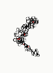 ClC1=C(Cl)C2(Cl)C(CBr)CC1(Cl)C2(Cl)Cl.ClC1=C(Cl)C2(Cl)C3C(Cl)C(Cl)CC3C1(Cl)C2(Cl)Cl.ClC1=C(Cl)C2(Cl)C3C4CC(C5OC45)C3C1(Cl)C2(Cl)Cl.ClCC1C(CCl)C2(Cl)C(Cl)=C(Cl)C1(Cl)C2(Cl)Cl.Cn1c(=O)c2c(ncn2CC(O)CO)n(C)c1=O.O=C1C2(Cl)C3(Cl)C4(Cl)C(Cl)(Cl)C5(Cl)C3(Cl)C1(Cl)C5(Cl)C24Cl